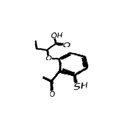 CCC(Oc1cccc(S)c1C(C)=O)C(=O)O